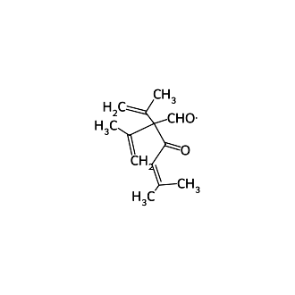 C=C(C)C([C]=O)(C(=C)C)C(=O)C=C(C)C